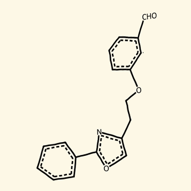 O=Cc1[c]c(OCCc2coc(-c3ccccc3)n2)ccc1